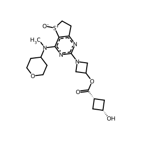 CN(c1nc(N2CC(OC(=O)[C@H]3C[C@@H](O)C3)C2)nc2c1[S+]([O-])CC2)C1CCOCC1